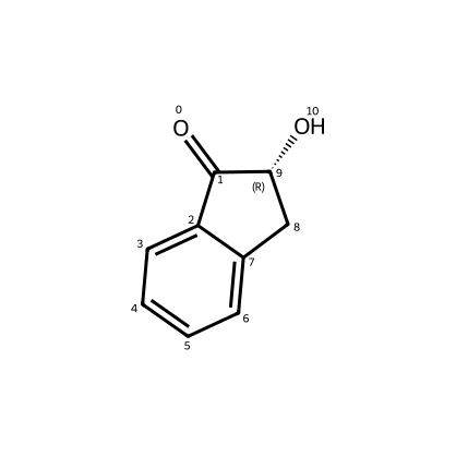 O=C1c2ccccc2C[C@H]1O